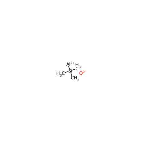 C[Si](C)(C)[Al+2].[O-2]